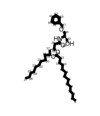 CCCCCCCCCCCCCC(=O)O[C@H](CCCCCCCCCCC)CC(=O)N[C@H](CO)COCc1ccccc1